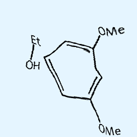 CCO.COc1cccc(OC)c1